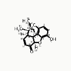 Cc1ccc(O)c2c1[C@]13CCN(C)[C@H](C)[C@@H]1C=CC(=O)[C@@H]3O2